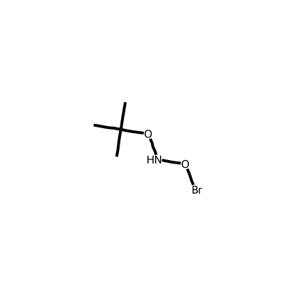 CC(C)(C)ONOBr